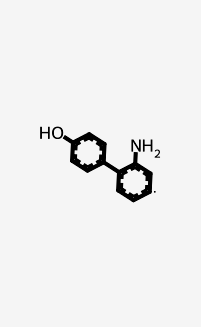 Nc1c[c]ccc1-c1ccc(O)cc1